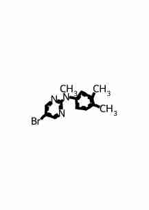 Cc1ccc(N(C)c2ncc(Br)cn2)cc1C